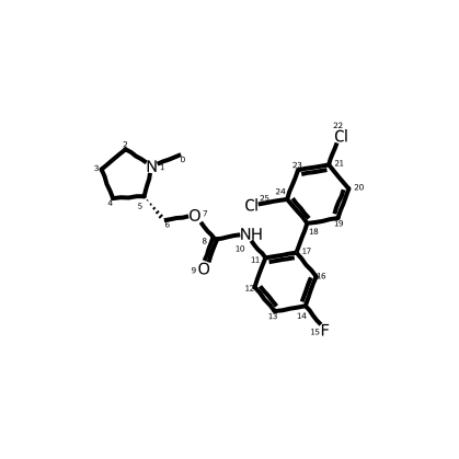 CN1CCC[C@H]1COC(=O)Nc1ccc(F)cc1-c1ccc(Cl)cc1Cl